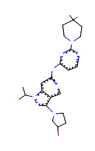 CC(C)n1nc(N2CCC(O)C2)c2cnc(Nc3ccnc(N4CCC(C)(O)CC4)n3)cc21